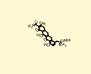 CON(C)Cc1ccc(O)c2c1CC1CC3CC(O)=C(C(N)=O)C(=O)C3C(O)=C1C2=O